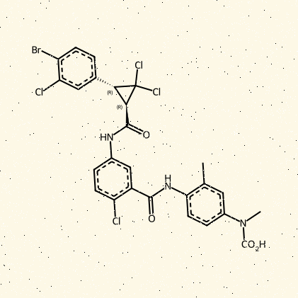 Cc1cc(N(C)C(=O)O)ccc1NC(=O)c1cc(NC(=O)[C@H]2[C@H](c3ccc(Br)c(Cl)c3)C2(Cl)Cl)ccc1Cl